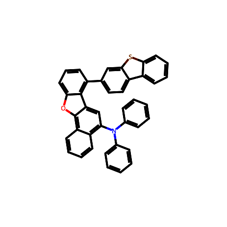 c1ccc(N(c2ccccc2)c2cc3c(oc4cccc(-c5ccc6c(c5)sc5ccccc56)c43)c3ccccc23)cc1